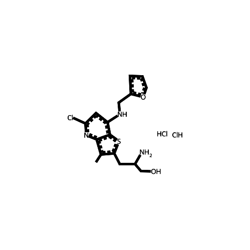 Cc1c(CC(N)CO)sc2c(NCc3ccco3)cc(Cl)nc12.Cl.Cl